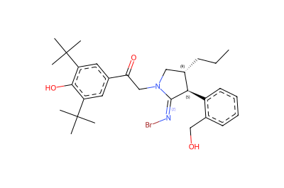 CCC[C@H]1CN(CC(=O)c2cc(C(C)(C)C)c(O)c(C(C)(C)C)c2)/C(=N\Br)[C@@H]1c1ccccc1CO